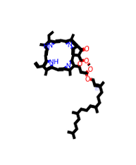 C=Cc1c(C)c2cc3nc(c4c5nc(cc6[nH]c(cc1[nH]2)c(C)c6CC)C(C)=C5C(=O)C4C(=O)OC)C(CCC(=O)OC/C=C(\C)CCCC(C)CCCC(C)CCCC(C)C)C3C